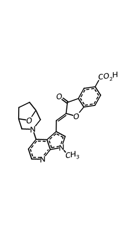 Cn1cc(/C=C2\Oc3ccc(C(=O)O)cc3C2=O)c2c(N3CC4CCC(C3)O4)ccnc21